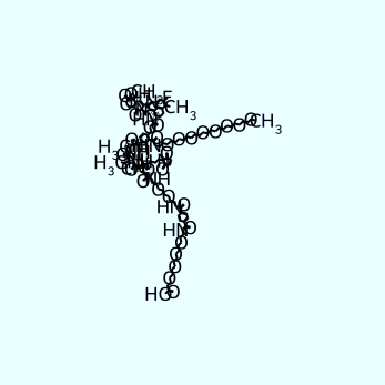 CC[C@@]1(O)C(=O)OCc2c1cc1n(c2=O)Cc2c-1nc1cc(F)c(C)c3c1c2[C@@H](NC(=O)OCc1ccc(NC(=O)[C@H](C)NC(=O)[C@@H](NC(=O)[C@H](CCC(=O)NCCOCCOCCNC(=O)c2ccc(C(=O)NCCOCCOCCOCCOCCC(=O)O)cc2)NC(=O)CCCN2C(=O)C=CC2=O)C(C)C)cc1C(=O)NCCOCCOCCOCCOCCOCCOCCOCCOC)CC3